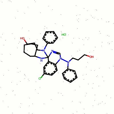 Cl.OCCCN(c1ccccc1)N1C=NC(NC2CCCCC2)(N(CCCO)c2ccccc2)c2cc(Cl)ccc21